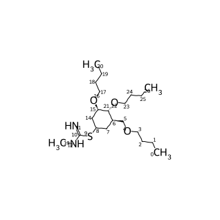 CCCCOC[C@H]1CC(SC(=N)NC)C[C@@H](OCCCC)[C@@H]1OCCCC